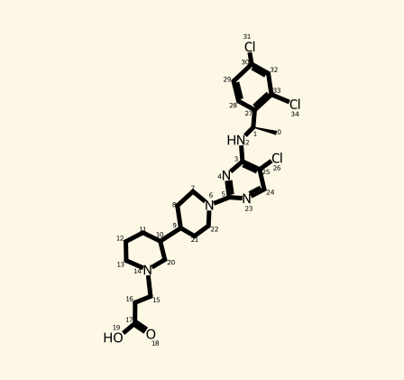 C[C@@H](Nc1nc(N2CCC(C3CCCN(CCC(=O)O)C3)CC2)ncc1Cl)c1ccc(Cl)cc1Cl